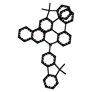 CC1(C)c2ccccc2-c2ccc(N(c3ccc4ccccc4c3)c3cccc(-c4ccccc4)c3-c3cccc4c3-c3ccccc3C4(C)C)cc21